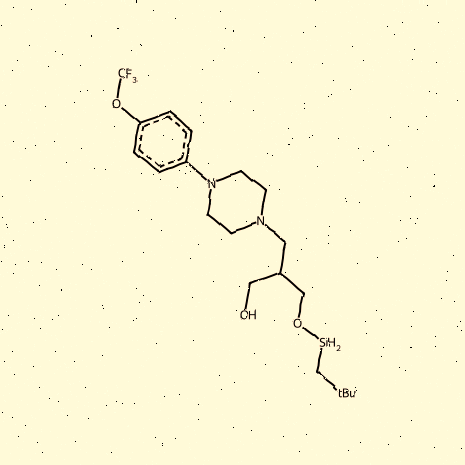 CC(C)(C)C[SiH2]OCC(CO)CN1CCN(c2ccc(OC(F)(F)F)cc2)CC1